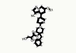 CCOc1cc(-c2ccc(N3CCC(Cc4ccccc4)(NC(=O)C(O)CO)CC3)nc2)c2c(C#N)cnn2c1